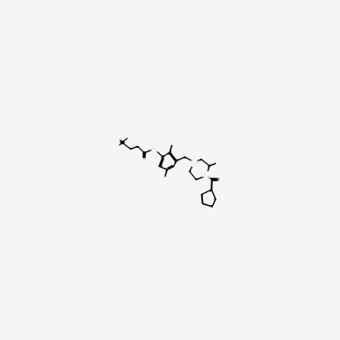 Cc1c(CN2CCN(C(=O)C3CCCC3)C(C)C2)cc(Cl)cc1NC(=O)CCC(F)(F)F